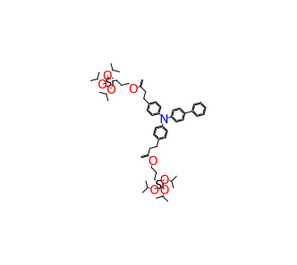 C=C(CCc1ccc(N(c2ccc(CCC(=C)OCCC[Si](OC(C)C)(OC(C)C)OC(C)C)cc2)c2ccc(-c3ccccc3)cc2)cc1)OCCC[Si](OC(C)C)(OC(C)C)OC(C)C